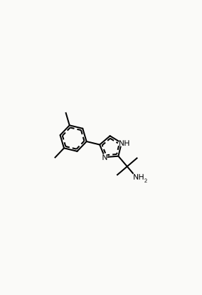 Cc1cc(C)cc(-c2c[nH]c(C(C)(C)N)n2)c1